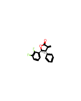 C=C1C(=O)O[C@H](c2cccc(F)c2F)[C@H]1c1ccccc1